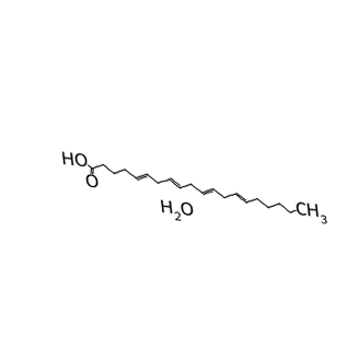 CCCCCC=CCC=CCC=CCC=CCCCC(=O)O.O